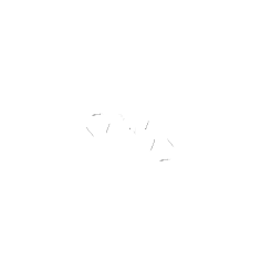 O=C(N[C@H]1CCCc2ccccc21)c1ccccc1